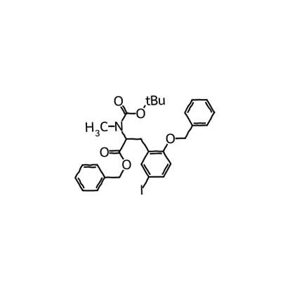 CN(C(=O)OC(C)(C)C)C(Cc1cc(I)ccc1OCc1ccccc1)C(=O)OCc1ccccc1